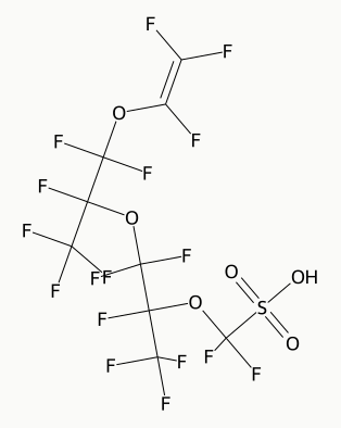 O=S(=O)(O)C(F)(F)OC(F)(C(F)(F)F)C(F)(F)OC(F)(C(F)(F)F)C(F)(F)OC(F)=C(F)F